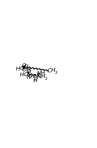 CCCCCCCCCCCCCCOP(=O)(O)O.N=C(N)NCCCC(N)C(=O)O